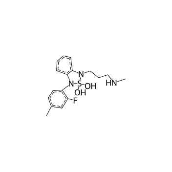 CNCCCN1c2ccccc2N(c2ccc(C)cc2F)S1(O)O